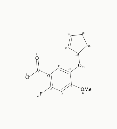 COc1cc(F)c(C(=O)Cl)cc1OC1C=CCC1